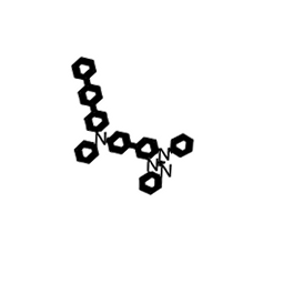 c1ccc(-c2ccc(-c3ccc(N(c4ccccc4)c4ccc(-c5ccc6c(c5)n5c7ccccc7nc5n6-c5ccccc5)cc4)cc3)cc2)cc1